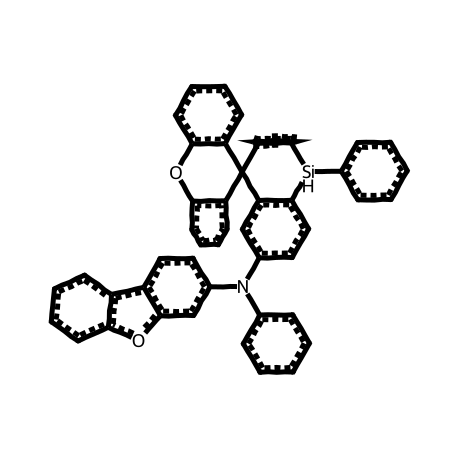 c1ccc(N(c2ccc3c(c2)C2(c4ccccc4Oc4ccccc42)c2ccccc2[SiH]3c2ccccc2)c2ccc3c(c2)oc2ccccc23)cc1